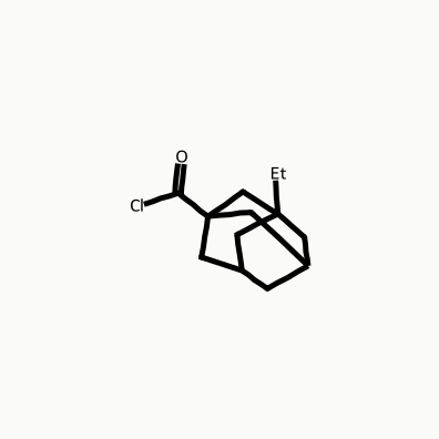 CCC12CC3CC(C1)CC(C(=O)Cl)(C3)C2